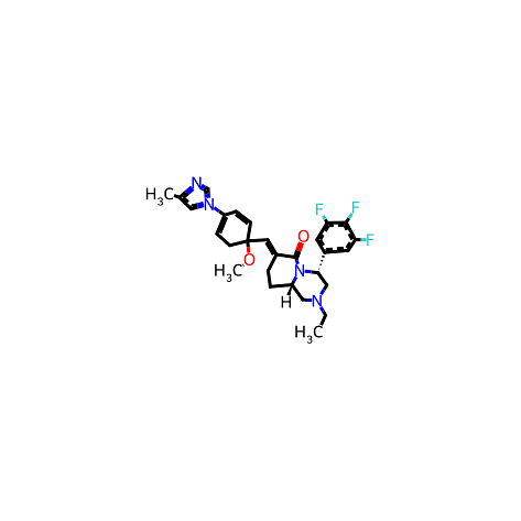 CCN1C[C@@H]2CCC(=CC3(OC)C=CC(n4cnc(C)c4)=CC3)C(=O)N2[C@H](c2cc(F)c(F)c(F)c2)C1